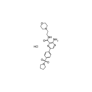 Cl.Nc1ncc(-c2ccc(S(=O)(=O)N3CCCC3)cc2)nc1C(=O)NCCN1CCOCC1